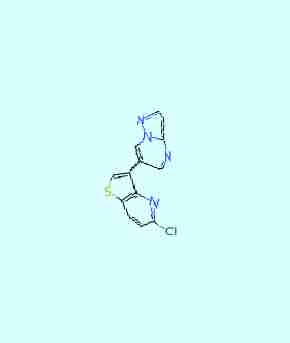 Clc1ccc2scc(-c3cnc4ccnn4c3)c2n1